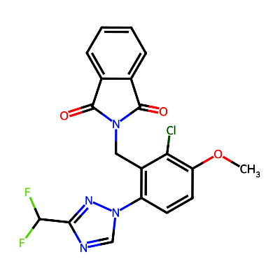 COc1ccc(-n2cnc(C(F)F)n2)c(CN2C(=O)c3ccccc3C2=O)c1Cl